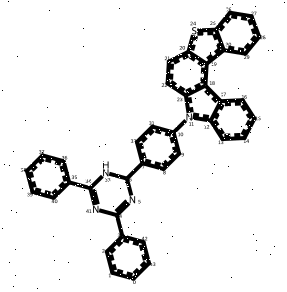 c1ccc(C2=NC(c3ccc(-n4c5ccccc5c5c6c(ccc54)sc4ccccc46)cc3)NC(c3ccccc3)=N2)cc1